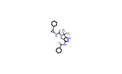 CC1(C)c2[nH]nc(NC(=O)c3ccccc3)c2CN1C(=O)NC1CC1c1ccccc1